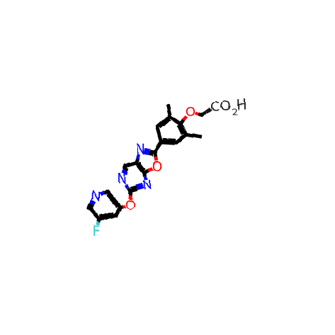 Cc1cc(-c2nc3cnc(Oc4cncc(F)c4)nc3o2)cc(C)c1OCC(=O)O